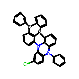 Clc1ccc2c(c1)N1c3cccc4c3B(c3ccccc3B4c3ccccc3)c3cccc(c31)N2c1ccccc1